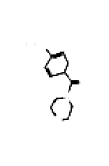 O=C(O)C1=CCC(C(=O)N2CCOCC2)C=C1